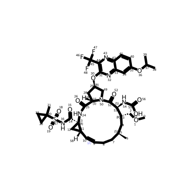 COC[C@@H]1C[C@@H](C)CC/C=C\[C@@H]2C[C@@]2(C(=O)NS(=O)(=O)C2(C)CC2)NC(=O)[C@@H]2C[C@@H](Oc3nc4cc(OC(C)C)ccc4nc3C(F)(F)F)CN2C(=O)[C@H]1NC(=O)O